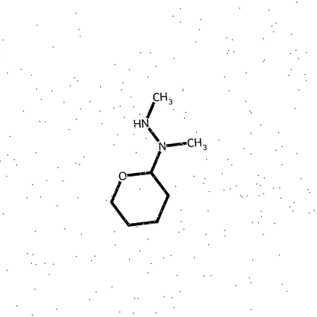 CNN(C)C1CCCCO1